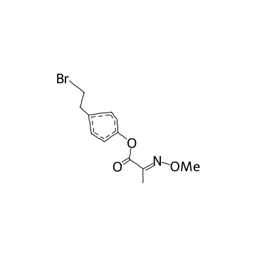 CON=C(C)C(=O)Oc1ccc(CCBr)cc1